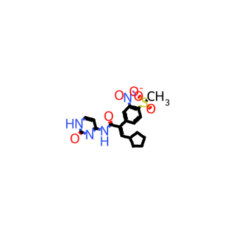 CS(=O)(=O)c1ccc(/C(=C\C2CCCC2)C(=O)Nc2cc[nH]c(=O)n2)cc1[N+](=O)[O-]